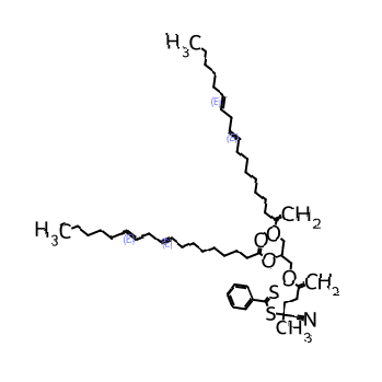 C=C(CCCCCCC/C=C/C/C=C/CCCCC)OCC(COC(=C)CCC(C)(C#N)SC(=S)c1ccccc1)OC(=O)CCCCCCC/C=C/C/C=C/CCCCC